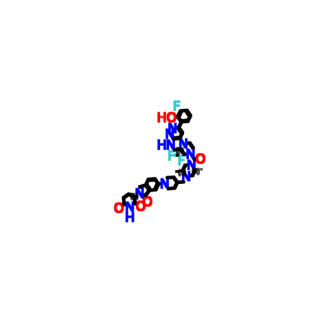 C[C@@H]1CN(CC2CCN(c3ccc4c(c3)C(=O)N([C@H]3CCC(=O)NC3=O)C4)CC2)[C@@H](C)CN1C(=O)N1CCN2c3cc(-c4cccc(F)c4O)nnc3NC[C@]2(C(F)F)C1